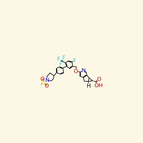 CS(=O)(=O)N1CCC(c2ccc(-c3cc(COc4cc5c(cn4)C4[C@@H](C5)[C@@H]4C(=O)O)c(F)cc3C(F)(F)F)cc2)CC1